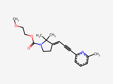 COCCOC(=O)N1CC/C(=C\C#Cc2cccc(C)n2)C1(C)C